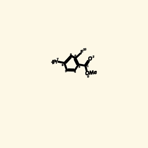 COC(=O)c1ccc([C](C)C)cc1F